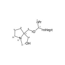 CCCCCCCC(CCC)OCC1(CO)CCCN1C